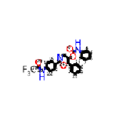 O=C(Nc1ccccc1)OC1CN=C(c2ccc(NC(=O)C(F)(F)F)cc2)OC1c1ccccc1